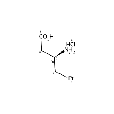 CC(C)C[C@H](N)CC(=O)O.Cl